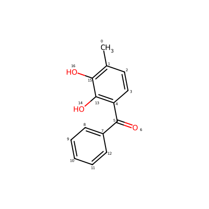 Cc1ccc(C(=O)c2ccccc2)c(O)c1O